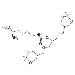 CC1(C)OCC(COCC(COCC2COC(C)(C)OC2)OC(=O)NCCCCC(N)C(=O)O)CO1